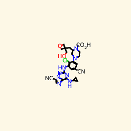 N#Cc1cc(Nc2nc(NC3CC3)c3ncc(C#N)n3n2)c(Cl)c(N2CCN(C(=O)O)C(CC3(CO)COC3)C2)c1